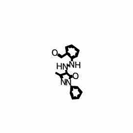 CC1=NN(c2ccccc2)C(=O)C1NNc1ccccc1C=O